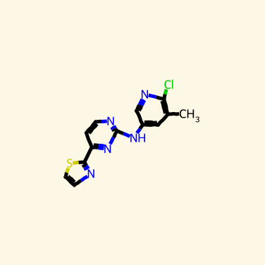 Cc1cc(Nc2nccc(-c3nccs3)n2)cnc1Cl